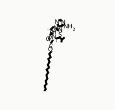 CCCCCCCCCCCCCCCCOCCCP(=O)(CO[C@H](C)Cn1cnc2c(N)ncnc21)N[C@@H](C)C(=S)C(C)C